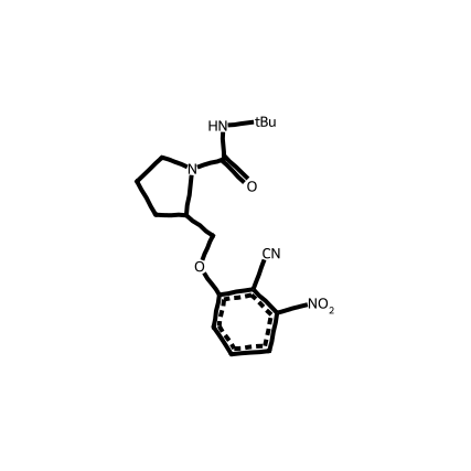 CC(C)(C)NC(=O)N1CCCC1COc1cccc([N+](=O)[O-])c1C#N